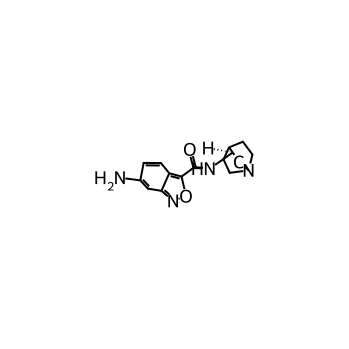 Nc1ccc2c(C(=O)N[C@@H]3CN4CCC3CC4)onc2c1